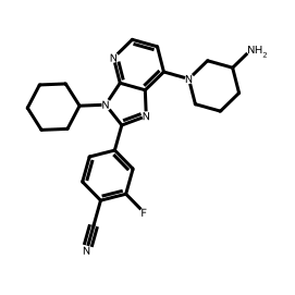 N#Cc1ccc(-c2nc3c(N4CCCC(N)C4)ccnc3n2C2CCCCC2)cc1F